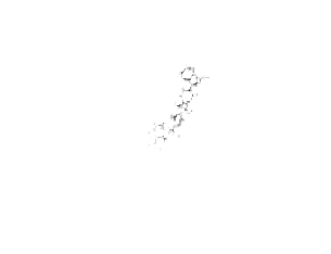 C[C@H]1COC[C@H](C)N1C(=O)N1CC(S(=O)(=O)N2CCC(c3c[nH]c4ncccc34)CC2)C1